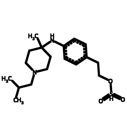 C[C](C)CN1CCC(C)(Nc2ccc(CCO[SH](=O)=O)cc2)CC1